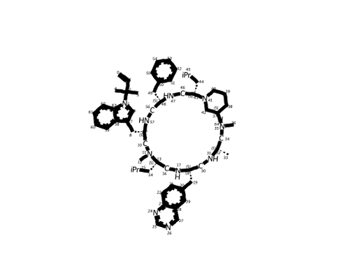 C=CC(C)(C)n1cc(C[C@H]2CN(C)[C@@H](CC(C)C)CN[C@@H](Cc3ccc4ncncc4c3)CN[C@@H](C)CN(C)[C@H]3CCCN(C3)[C@@H](CC(C)C)CN[C@@H](Cc3ccccc3)CN2)c2ccccc21